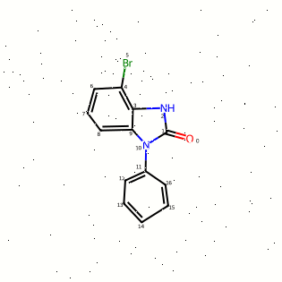 O=c1[nH]c2c(Br)cccc2n1-c1ccccc1